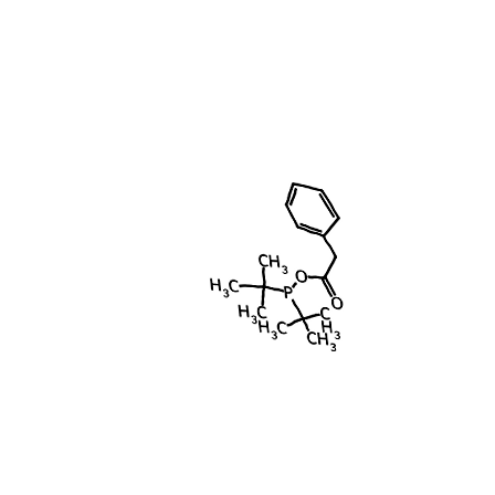 CC(C)(C)P(OC(=O)Cc1ccccc1)C(C)(C)C